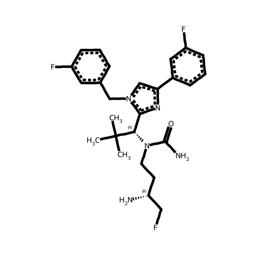 CC(C)(C)[C@H](c1nc(-c2cccc(F)c2)cn1Cc1cccc(F)c1)N(CC[C@@H](N)CF)C(N)=O